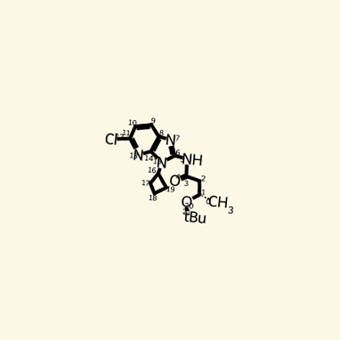 C[C@@H](CC(=O)Nc1nc2ccc(Cl)nc2n1C1CCC1)OC(C)(C)C